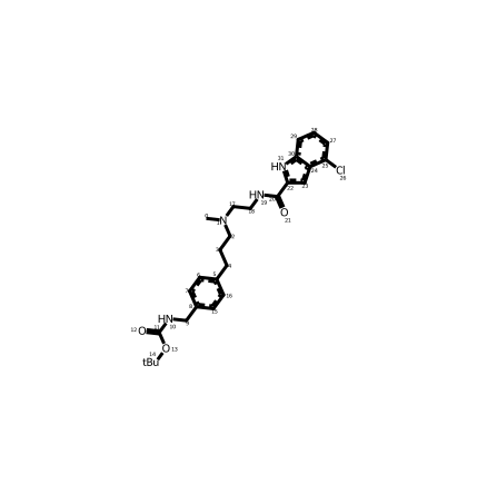 CN(CCCc1ccc(CNC(=O)OC(C)(C)C)cc1)CCNC(=O)c1cc2c(Cl)cccc2[nH]1